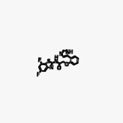 O=C(COc1ccccc1-c1cnc[nH]1)Nc1nc2cc(F)cc(F)c2s1